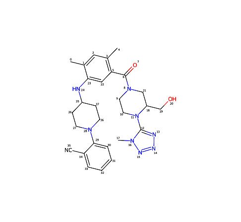 Cc1cc(C)c(C(=O)N2CCN(c3nnnn3C)C(CO)C2)cc1NC1CCN(c2ccccc2C#N)CC1